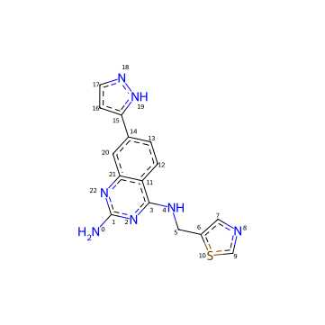 Nc1nc(NCc2cncs2)c2ccc(-c3ccn[nH]3)cc2n1